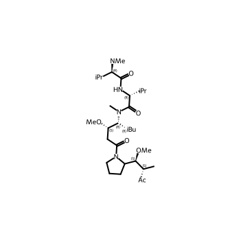 CC[C@@H](C)[C@H]([C@H](CC(=O)N1CCCC1[C@@H](OC)[C@H](C)C(C)=O)OC)N(C)C(=O)[C@H](NC(=O)[C@H](NC)C(C)C)C(C)C